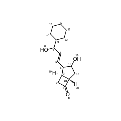 O=C1C[C@H]2C(C=CC(O)C3CCCCC3)C(O)C[C@H]12